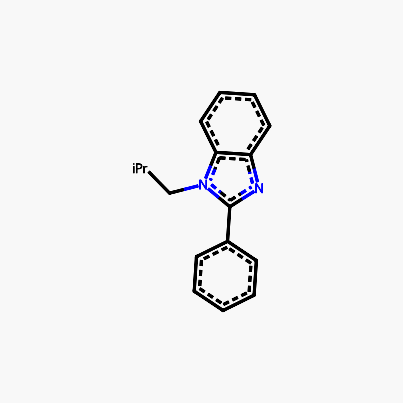 CC(C)Cn1c(-c2ccccc2)nc2ccccc21